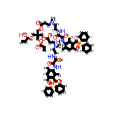 C=CC(=O)OCC(COC(=O)CCN(CC)CCNC(=O)C(=O)Nc1c(C)cc(C)c(C(=O)P(=O)(c2ccccc2)c2ccccc2)c1C)(COC(=O)CCN(CC)CCNC(=O)C(=O)Nc1c(C)cc(C)c(C(=O)P(=O)(c2ccccc2)c2ccccc2)c1C)COC(O)C=C